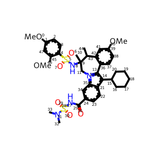 COc1ccc(S(=O)(=O)NC2(C)Cn3c(c(C4CCCCC4)c4ccc(C(=O)NS(=O)(=O)N(C)C)cc43)-c3ccc(OC)cc3C2C)c(OC)c1